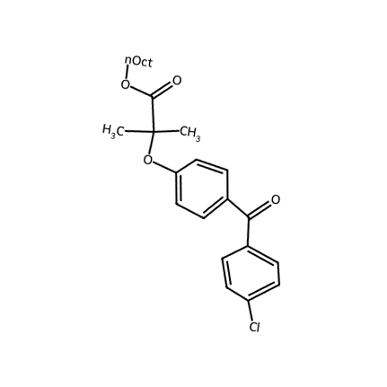 CCCCCCCCOC(=O)C(C)(C)Oc1ccc(C(=O)c2ccc(Cl)cc2)cc1